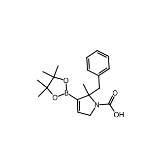 CC1(Cc2ccccc2)C(B2OC(C)(C)C(C)(C)O2)=CCN1C(=O)O